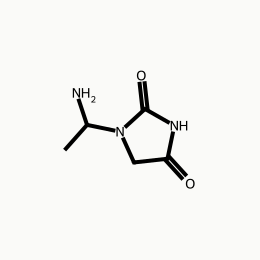 CC(N)N1CC(=O)NC1=O